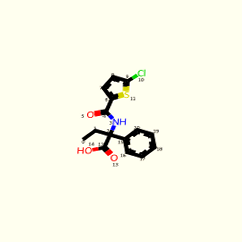 CCC(NC(=O)c1ccc(Cl)s1)(C(=O)O)c1ccccc1